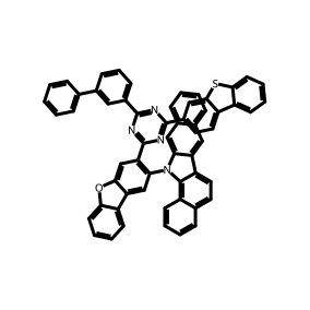 c1ccc(-c2cccc(-c3nc(-c4ccc5c(c4)sc4ccccc45)nc(-c4cc5oc6ccccc6c5cc4-n4c5cc6ccccc6cc5c5ccc6ccccc6c54)n3)c2)cc1